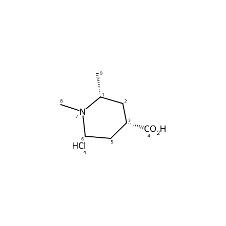 C[C@@H]1C[C@H](C(=O)O)CCN1C.Cl